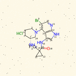 Cl.N[C@@H]1CCCN(c2c(Br)cnc3[nH]cc(NC(=O)C4(C(F)(F)F)CC4)c23)C1